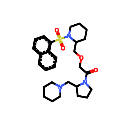 O=C(COCC1CCCCN1S(=O)(=O)c1cccc2ccccc12)N1CCCC1CN1CCCCC1